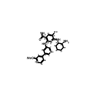 COc1cc(-c2cncc(Nc3nc(N[C@@H]4CCCC[C@@H]4N)c(F)cc3C(N)=O)c2)ccn1